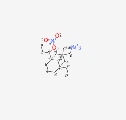 CCC(O[N+](=O)[O-])C12CCCC(CC)(CC(C)(CN)C1)C2